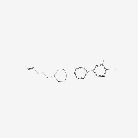 N#Cc1ccc(-c2ccc([C@H]3CC[C@H](CCCC=CF)CC3)cc2)cc1F